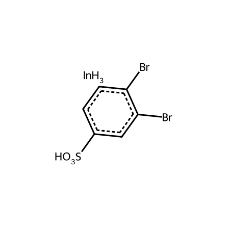 O=S(=O)(O)c1ccc(Br)c(Br)c1.[InH3]